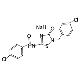 O=C(Nc1nc(=O)n(Cc2ccc(Cl)cc2)s1)c1ccc(Cl)cc1.[NaH]